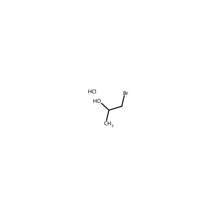 CC(O)CBr.Cl